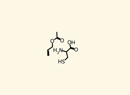 C=CCOC(C)=O.NC(CS)C(=O)O